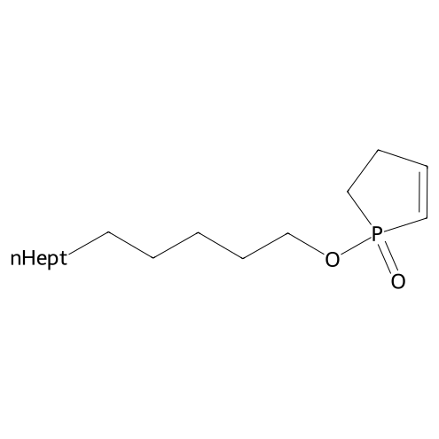 CCCCCCCCCCCCOP1(=O)C=CCC1